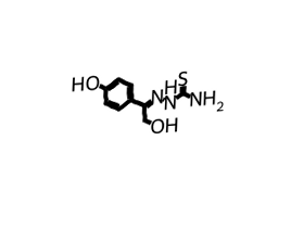 NC(=S)NN=C(CO)c1ccc(O)cc1